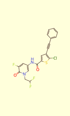 O=C(Nc1cc(F)c(=O)n(CC(F)F)c1)c1cc(C#Cc2ccccc2)c(Cl)s1